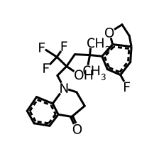 CC(C)(CC(O)(CN1CCC(=O)c2ccccc21)C(F)(F)F)c1cc(F)cc2c1OCC2